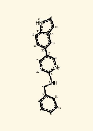 c1ccc(CNc2ncc(-c3ccc4[nH]ccc4c3)cn2)cc1